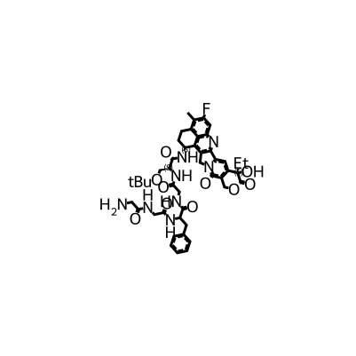 CC[C@@]1(O)C(=O)OCc2c1cc1n(c2=O)Cc2c-1nc1cc(F)c(C)c3c1c2[C@@H](NC(=O)[C@H](COC(C)(C)C)NC(=O)CNC(=O)C(Cc1ccccc1)NC(=O)CNC(=O)CN)CC3